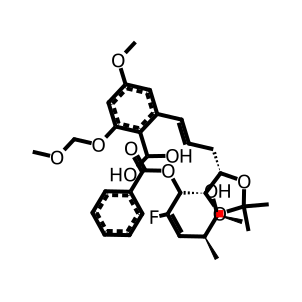 COCOc1cc(OC)cc(/C=C/C[C@@H]2OC(C)(C)O[C@@H]2C(OC(=O)c2ccccc2)/C(F)=C\[C@H](C)[C@H](C)O)c1C(O)O